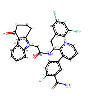 NC(=O)c1cc(-c2cccnc2[C@H](Cc2cc(F)cc(F)c2)NC(=O)Cn2c3c(c4ccccc42)C(=O)CCC3)ccc1F